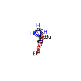 CCOCCOCCOc1ccc(CC(C(=O)OC(C)(C)C)N2CCNCCNCCNCC2)cn1